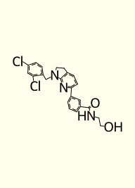 O=C(NCCO)c1cccc(-c2ccc3c(n2)N(Cc2ccc(Cl)cc2Cl)CC3)c1